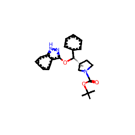 CC(C)(C)OC(=O)N1CC[C@@H](C(Oc2n[nH]c3ccccc23)c2ccccc2)C1